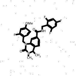 COc1ccc(CN2C(=O)N(C)C(C)c3ccc(C(=O)NCc4c(F)cc(F)cc4F)cc32)c(F)c1